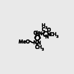 COCCn1c(C)nc2cc(Nc3cnn(C)c(=O)c3C)c(Cl)cc21